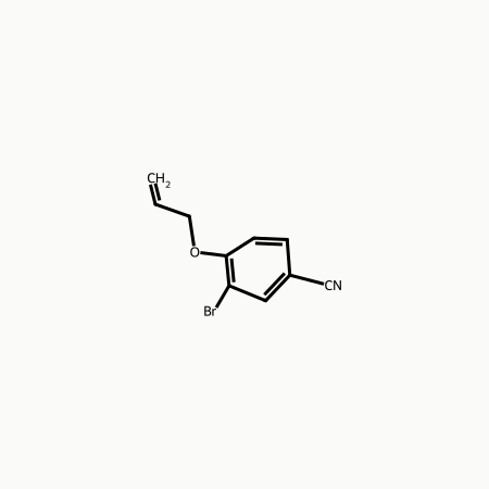 C=CCOc1ccc(C#N)cc1Br